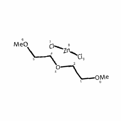 COCCOCCOC.[Cl][Zn][Cl]